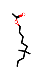 CCCC(C)(C)CCCCCOC(C)=O